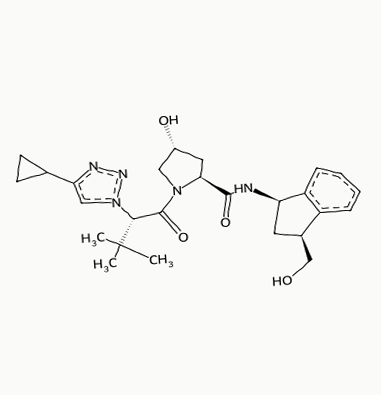 CC(C)(C)[C@@H](C(=O)N1C[C@H](O)C[C@H]1C(=O)N[C@@H]1C[C@H](CO)c2ccccc21)n1cc(C2CC2)nn1